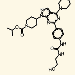 CC(C)OC(=O)N1CCC(n2ncc3c(N4CCOCC4)nc(-c4ccc(NC(=O)NCCO)cc4)nc32)CC1